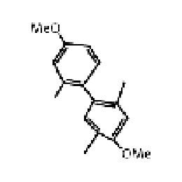 COc1ccc(-c2cc(C)c(OC)cc2C)c(C)c1